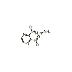 NN.O=[N+]([O-])c1nccnc1[N+](=O)[O-]